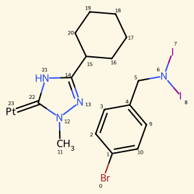 Brc1ccc(CN(I)I)cc1.Cn1nc(C2CCCCC2)[nH][c]1=[Pt]